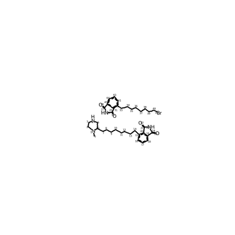 CN1CCNCC1CCCCCCCCc1cccc2c1C(=O)NC2=O.O=C1NC(=O)c2c(CCCCCCCCBr)cccc21